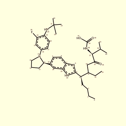 CCCC[C@@H](c1nc2ccc([C@H]3CCCN3c3ccc(NC(C)(C)C)c(F)c3)cc2[nH]1)C(CC)CC(=O)[C@@H](NC(=O)O)C(C)C